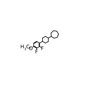 COc1ccc(C2CCC(C3CCCCCC3)CC2)c(F)c1F